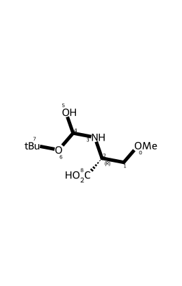 COC[C@@H](NC(O)OC(C)(C)C)C(=O)O